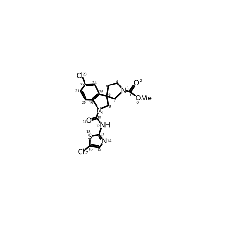 COC(=O)N1CCC2(C1)CN(C(=O)Nc1ncc(Cl)s1)c1ccc(Cl)cc12